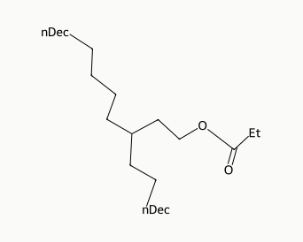 CCCCCCCCCCCCCCC(CCCCCCCCCCCC)CCOC(=O)CC